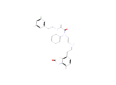 CC(NCCc1cc(F)cc(F)c1)C(=O)N(CCN(CCc1ccc(O)c2[nH]c(=O)sc12)C(=O)O)C1CCCCC1